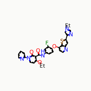 CCOc1ccn(-c2ccccn2)c(=O)c1C(=O)Nc1ccc(Oc2ccnc3cc(-c4cn(CC)cn4)sc23)c(F)c1